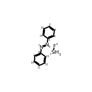 F[SiH3].c1ccc(N=Nc2ccccc2)cc1